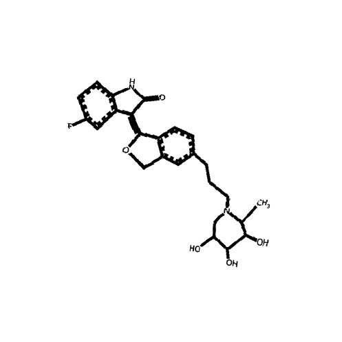 CC1C(O)C(O)C(O)CN1CCCc1ccc2c(c1)CO/C2=C1/C(=O)Nc2ccc(F)cc21